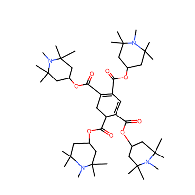 CN1C(C)(C)CC(OC(=O)C2=CC(C(=O)OC3CC(C)(C)N(C)C(C)(C)C3)=C(C(=O)OC3CC(C)(C)N(C)C(C)(C)C3)CC2C(=O)OC2CC(C)(C)N(C)C(C)(C)C2)CC1(C)C